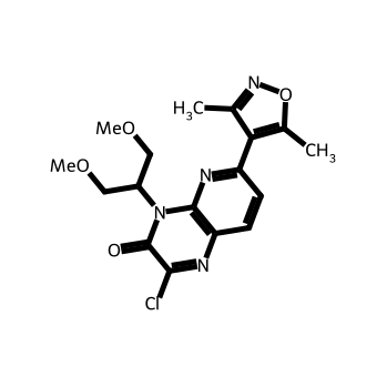 COCC(COC)n1c(=O)c(Cl)nc2ccc(-c3c(C)noc3C)nc21